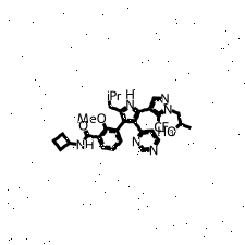 COc1c(C(=O)NC2CCC2)cccc1-c1c(CC(C)C)[nH]c(-c2cnn(CC(C)O)c2C(F)(F)F)c1-c1ccncn1